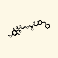 COc1cc(C)c(S(=O)(=O)N(C)CCOCC(=O)NCC2CCC(CN3CCCC3)C2)c(C)c1